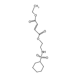 CCOC(=O)/C=C/C(=O)OCCNS(=O)(=O)C1CCCCC1